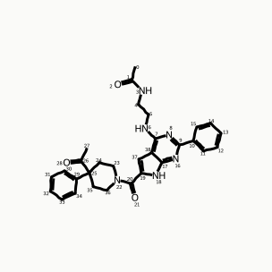 CC(=O)NCCNc1nc(-c2ccccc2)nc2[nH]c(C(=O)N3CCC(C(C)=O)(c4ccccc4)CC3)cc12